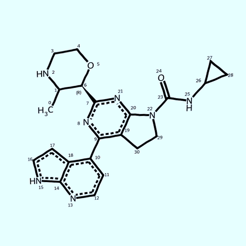 CC1NCCO[C@H]1c1nc(-c2ccnc3[nH]ccc23)c2c(n1)N(C(=O)NC1CC1)CC2